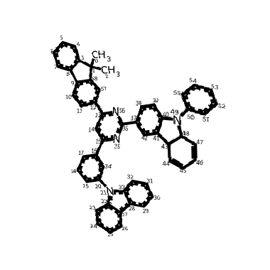 CC1(C)c2ccccc2-c2ccc(-c3cc(-c4cccc(-n5c6ccccc6c6ccccc65)c4)nc(-c4ccc5c(c4)C4C=CC=CC4N5c4ccccc4)n3)cc21